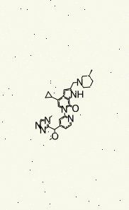 COC(c1ccnc(-n2cc(C3CC3)c3cc(CN4CCC[C@H](C)C4)[nH]c3c2=O)c1)c1nncn1C